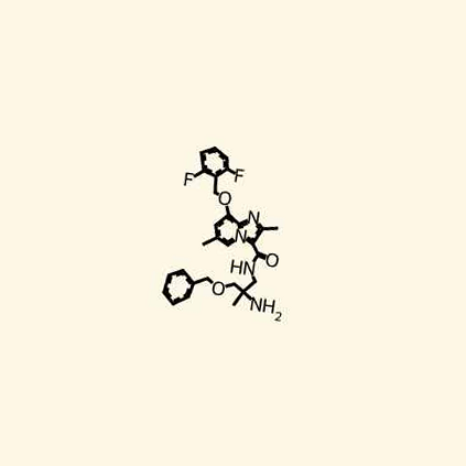 Cc1cc(OCc2c(F)cccc2F)c2nc(C)c(C(=O)NCC(C)(N)COCc3ccccc3)n2c1